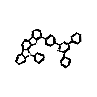 C1=CC2c3ccc4c(oc5c(-c6ccc(-c7nc(-c8ccccc8)cc(-c8ccccc8)n7)cc6)cccc54)c3N(c3ccccc3)C2C=C1